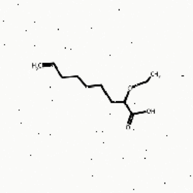 C=CCCCCCC(OCC)C(=O)O